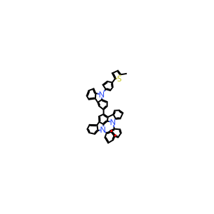 Cc1ccc(-c2ccc(-n3c4ccccc4c4cc(-c5cc6c7ccccc7n(-c7ccccc7)c6c6c5c5ccccc5n6-c5ccccc5)ccc43)cc2)s1